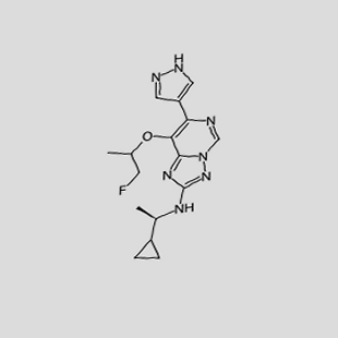 CC(CF)Oc1c(-c2cn[nH]c2)ncn2nc(N[C@H](C)C3CC3)nc12